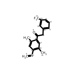 C=Nc1cc(C)c(C(=O)Cc2cccc(C(F)(F)F)c2)cc1C